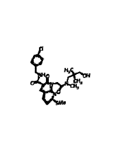 CSc1ccc2cc(C(=O)NCc3ccc(Cl)cc3)c(=O)n(CC(=O)N(C)CC(C)(C)CO)c2n1